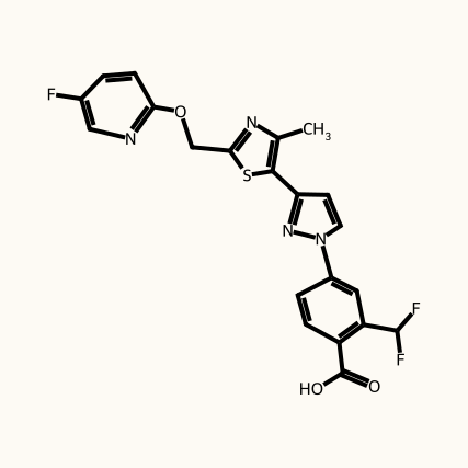 Cc1nc(COc2ccc(F)cn2)sc1-c1ccn(-c2ccc(C(=O)O)c(C(F)F)c2)n1